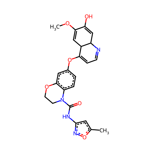 COC1=CC2C(Oc3ccc4c(c3)OCCN4C(=O)Nc3cc(C)on3)=CC=NC2C=C1O